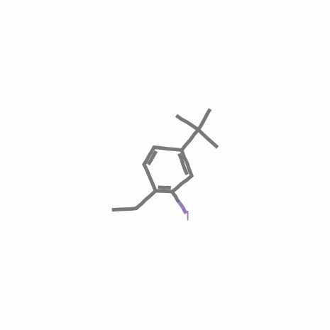 CCc1ccc(C(C)(C)C)cc1I